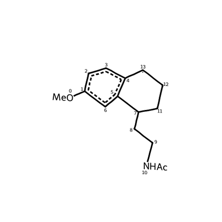 COc1ccc2c(c1)C(CCNC(C)=O)CC[CH]2